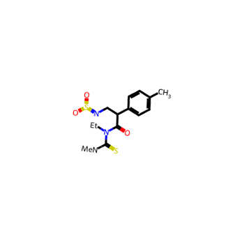 CCN(C(=O)C(CN=S(=O)=O)c1ccc(C)cc1)C(=S)NC